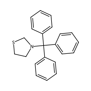 c1ccc(C(c2ccccc2)(c2ccccc2)N2CCSC2)cc1